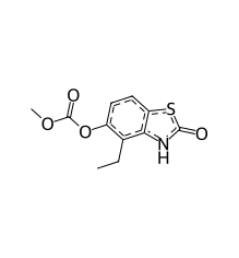 CCc1c(OC(=O)OC)ccc2sc(=O)[nH]c12